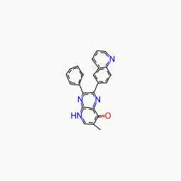 Cc1c[nH]c2nc(-c3ccccc3)c(-c3ccc4ncccc4c3)nc2c1=O